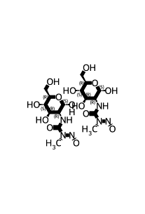 CN(N=O)C(=O)N[C@@H]1[C@@H](O)[C@H](O)[C@@H](CO)O[C@@H]1O.CN(N=O)C(=O)N[C@@H]1[C@@H](O)[C@H](O)[C@@H](CO)O[C@@H]1O